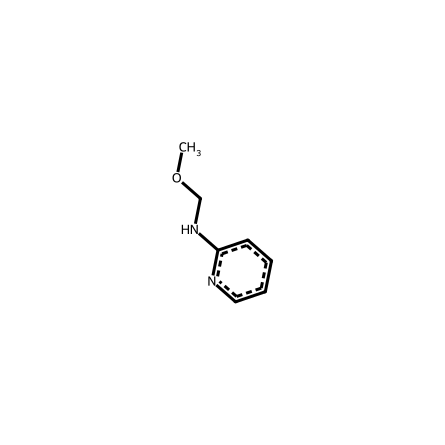 COCNc1ccccn1